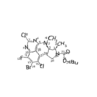 C[C@@H]1[C@H](N(C)c2nc(Cl)nc3c(F)c(Br)c(Cl)cc23)CCN1C(=O)OC(C)(C)C